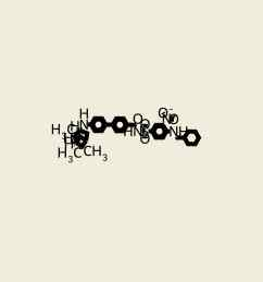 C[C@@H]1[C@@H](Nc2ccc(-c3ccc(C(=O)NS(=O)(=O)c4ccc(NCC5CCCCC5)c([N+](=O)[O-])c4)cc3)cc2)CC2C[C@@H]1C2(C)C